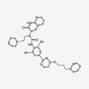 CC(C)c1cc(-c2cccc(OCCCc3ccccn3)c2)cc(C(C)C)c1NC(=O)N(CCc1ccccc1)c1cc2cccnc2[nH]c1=O